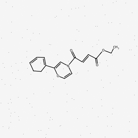 CCOC(=O)/C=C/C(=O)N1C=COC(C2=CC=CCC2)=C1